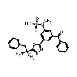 CN(c1cc(C(=O)c2ccccc2)cc(-c2nnc([C@](C)(N)Cc3ccccc3)o2)c1)S(C)(=O)=O